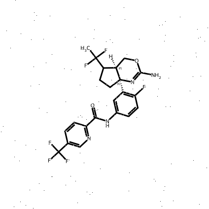 CC(F)(F)C1CC[C@]2(c3cc(NC(=O)c4ccc(C(F)(F)F)cn4)ccc3F)N=C(N)OC[C@H]12